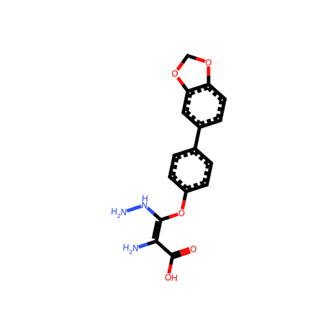 NN/C(Oc1ccc(-c2ccc3c(c2)OCO3)cc1)=C(\N)C(=O)O